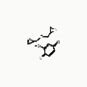 C(OCC1CO1)C1CO1.O=C1C=CC(=O)C(O)=C1